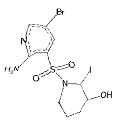 Nc1ncc(Br)cc1S(=O)(=O)N1CCCC(O)C1I